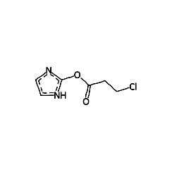 O=C(CCCl)Oc1ncc[nH]1